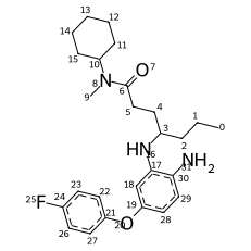 CCCC(CCC(=O)N(C)C1CCCCC1)Nc1cc(Oc2ccc(F)cc2)ccc1N